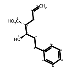 C=CC[C@@H](C(=O)O)[C@H](O)CCc1ccccc1